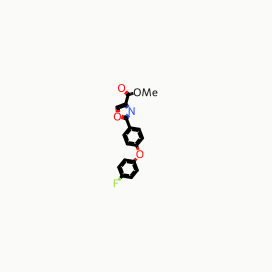 COC(=O)c1coc(-c2ccc(Oc3ccc(F)cc3)cc2)n1